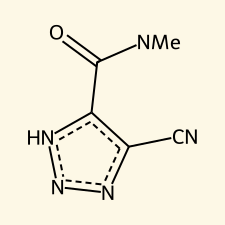 CNC(=O)c1[nH]nnc1C#N